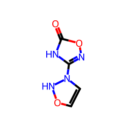 O=c1[nH]c(N2C=CON2)no1